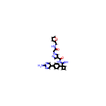 N=C(NC(=O)c1cnn(CC(=O)NCC2CCCO2)c1)C1(c2ccc(-c3cnc(N)nc3)cc2)CCC1